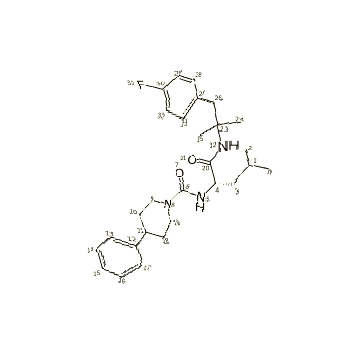 CC(C)C[C@H](NC(=O)N1CCC(c2ccccc2)CC1)C(=O)NC(C)(C)Cc1ccc(F)cc1